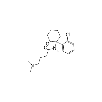 CN(C)CCCC(=O)N(C)C1(c2ccccc2Cl)CCCCC1=O